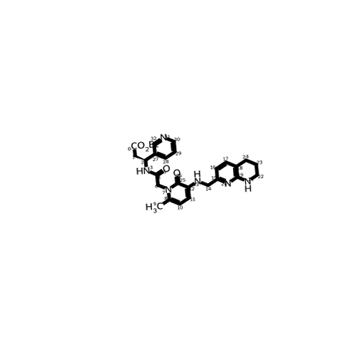 CCOC(=O)C[C@H](NC(=O)Cn1c(C)ccc(NCc2ccc3c(n2)NCCC3)c1=O)c1cccnc1